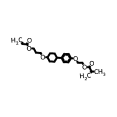 C=CC(=O)OCCCOC1CCC(c2ccc(OCCOC(=O)C(=C)C)cc2)CC1